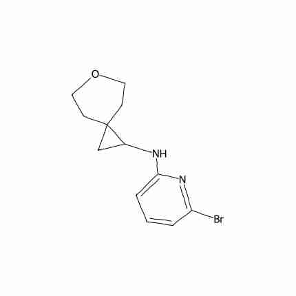 Brc1cccc(NC2CC23CCOCC3)n1